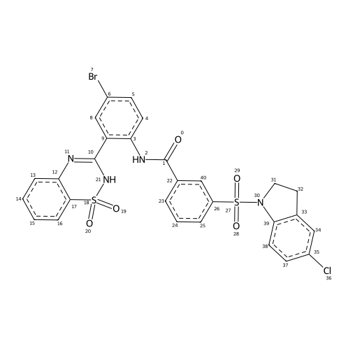 O=C(Nc1ccc(Br)cc1C1=Nc2ccccc2S(=O)(=O)N1)c1cccc(S(=O)(=O)N2CCc3cc(Cl)ccc32)c1